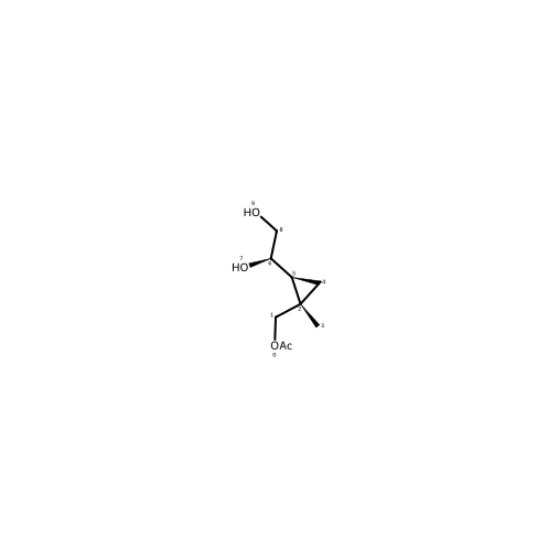 CC(=O)OC[C@@]1(C)C[C@@H]1[C@@H](O)CO